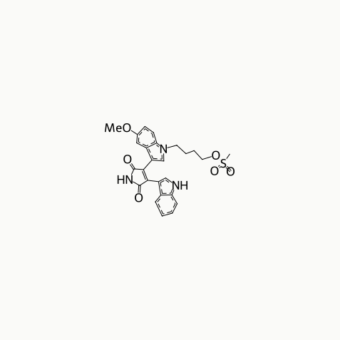 COc1ccc2c(c1)c(C1=C(c3c[nH]c4ccccc34)C(=O)NC1=O)cn2CCCCOS(C)(=O)=O